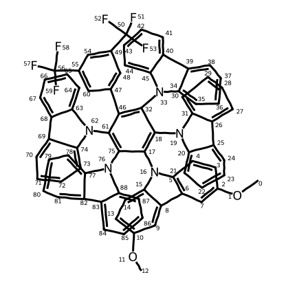 COc1ccc2c(c1)c1cc(OC)ccc1n2-c1c(-n2c3ccccc3c3ccccc32)c(-n2c3ccccc3c3ccccc32)c(-c2cc(C(F)(F)F)cc(C(F)(F)F)c2)c(-n2c3ccccc3c3ccccc32)c1-n1c2ccccc2c2ccccc21